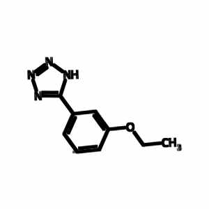 CCOc1c[c]cc(-c2nnn[nH]2)c1